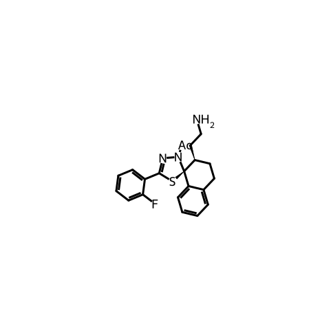 CC(=O)N1N=C(c2ccccc2F)S[C@@]12c1ccccc1CC[C@@H]2CCN